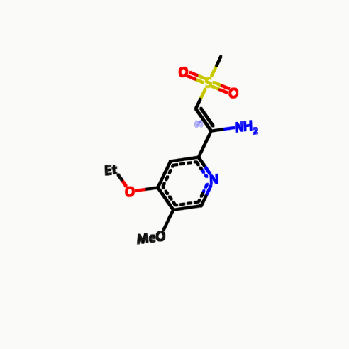 CCOc1cc(/C(N)=C/S(C)(=O)=O)ncc1OC